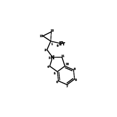 CC(C)C1(CN2Cc3ccccc3C2)CC1